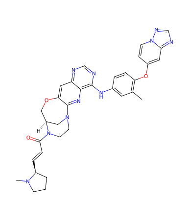 Cc1cc(Nc2ncnc3cc4c(nc23)N2CCN(C(=O)/C=C/[C@H]3CCCN3C)[C@@H](CO4)C2)ccc1Oc1ccn2ncnc2c1